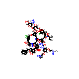 CCCNCCOc1cc(NC(=O)NC(=O)C[C@@H]2CC(=O)[C@H](NC(=O)[C@H](CC)CC(C)C)[C@H](O)c3ccc(c(Cl)c3)Oc3cc4cc(c3O[C@@H]3O[C@H](CO)[C@@H](O)[C@H](O)[C@H]3O[C@H]3C[C@](C)(N)[C@H](O)[C@H](C)O3)Oc3ccc(cc3Cl)[C@@H](O)[C@@H]3NC(=O)[C@H](CC(=O)[C@@H]4NC2=O)c2ccc(O)c(c2)-c2c(O)cc(O)cc2[C@@H](C(=O)CC2C4CC5CC(C4)CC2C5)NC3=O)cc(OCCNCCC)c1